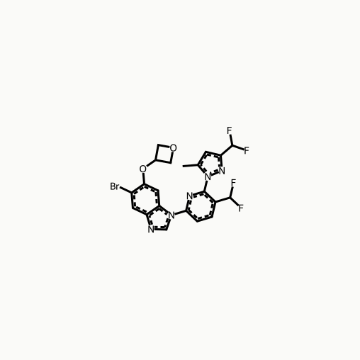 Cc1cc(C(F)F)nn1-c1nc(-n2cnc3cc(Br)c(OC4COC4)cc32)ccc1C(F)F